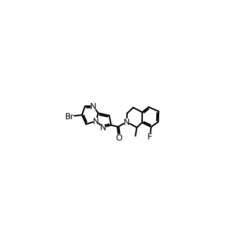 CC1c2c(F)cccc2CCN1C(=O)c1cc2ncc(Br)cn2n1